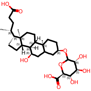 C[C@H](CCC(=O)O)[C@H]1CC[C@H]2[C@@H]3[C@H](O)CC4C[C@H](OC5O[C@H](C(=O)O)[C@@H](O)[C@H](O)[C@H]5O)CC[C@]4(C)[C@H]3CC[C@]12C